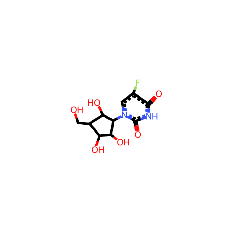 O=c1[nH]c(=O)n(C2C(O)C(O)C(CO)C2O)cc1F